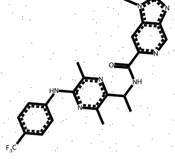 Cc1nc(C(C)NC(=O)c2cc3c(cn2)ncn3C)c(C)nc1Nc1ccc(C(F)(F)F)cc1